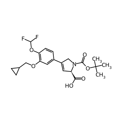 CC(C)(C)OC(=O)N1CC(c2ccc(OC(F)F)c(OCC3CC3)c2)=C[C@@H]1C(=O)O